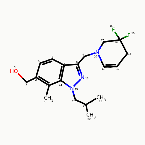 Cc1c(CO)ccc2c(CN3C=CCC(F)(F)C3)nn(CC(C)C)c12